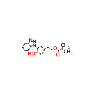 C=C(C)C(=O)OCCc1ccc(O)c(-n2nnc3ccccc32)c1